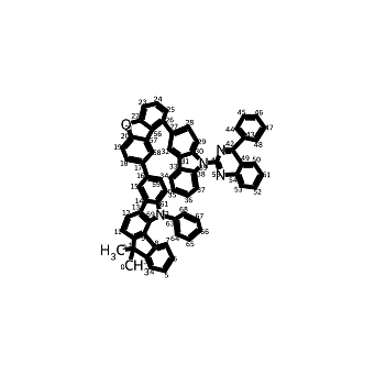 CC1(C)c2ccccc2-c2c1ccc1c3cc(-c4ccc5oc6cccc(-c7ccc8c(c7)c7ccccc7n8-c7nc(-c8ccccc8)c8ccccc8n7)c6c5c4)ccc3n(-c3ccccc3)c21